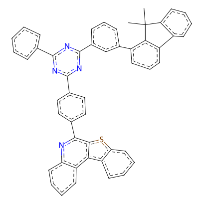 CC1(C)c2ccccc2-c2cccc(-c3cccc(-c4nc(-c5ccccc5)nc(-c5ccc(-c6nc7ccccc7c7c6sc6ccccc67)cc5)n4)c3)c21